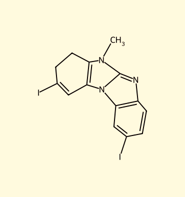 Cn1c2c(n3c4cc(I)ccc4nc13)C=C(I)CC2